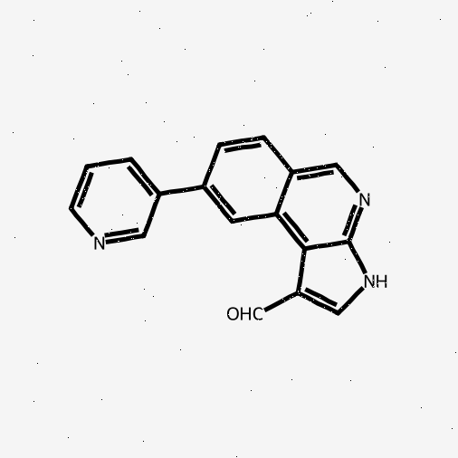 O=Cc1c[nH]c2ncc3ccc(-c4cccnc4)cc3c12